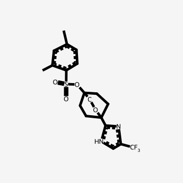 Cc1ccc(S(=O)(=O)OC23CCC(c4nc(C(F)(F)F)c[nH]4)(CC2)OC3)c(C)c1